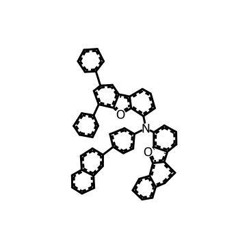 c1ccc(-c2cc(-c3ccccc3)c3oc4c(N(c5ccc(-c6ccc7ccccc7c6)cc5)c5cccc6c5oc5c7ccccc7ccc65)cccc4c3c2)cc1